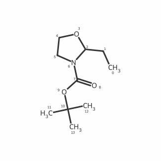 CCC1OCCN1C(=O)OC(C)(C)C